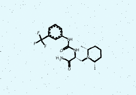 C[C@@H]1CCC[C@H](C)N1C[C@@H](NC(=O)Nc1cccc(C(F)(F)F)c1)C(N)=O